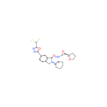 O=C1c2cc(-c3nnc(C(F)F)o3)ccc2CN1[C@@H]1CCCC[C@H]1NC1OC1[C@H]1CCCO1